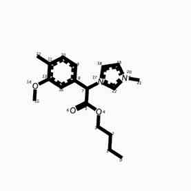 CCCCOC(=O)C(c1ccc(C)c(OC)c1)n1cc[n+](C)c1